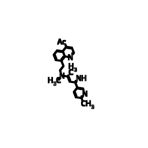 CC(=O)c1ccnc2c(CCN(C)/C(C)=C/C(=N)c3ccc(C)nc3)cccc12